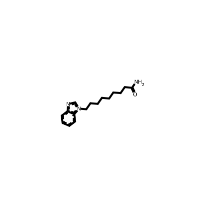 NC(=O)CCCCCCCCn1cnc2ccccc21